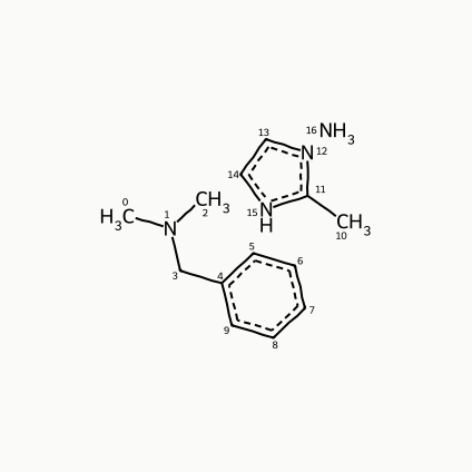 CN(C)Cc1ccccc1.Cc1ncc[nH]1.N